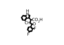 Cc1cccc2[nH]cc(C(CC(=O)c3ccc(F)cc3F)C(=O)O)c12